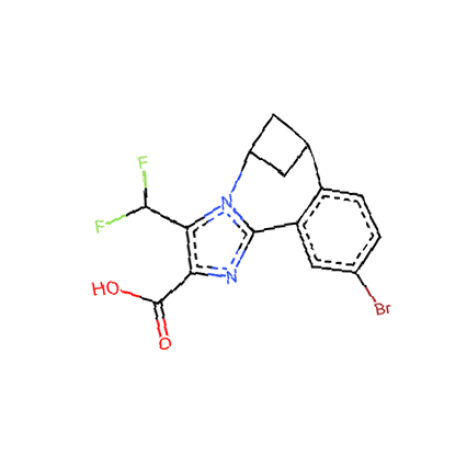 O=C(O)c1nc2n(c1C(F)F)C1CC(C1)c1ccc(Br)cc1-2